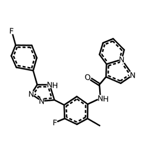 Cc1cc(F)c(-c2nnc(-c3ccc(F)cc3)[nH]2)cc1NC(=O)c1cnn2ccccc12